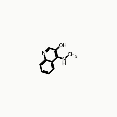 CNc1c(O)cnc2ccccc12